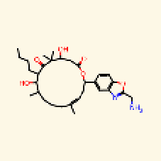 CCCCC1C(=O)C(C)(C)C(O)CC(=O)OC(c2ccc3oc(CN)nc3c2)CC=C(C)CCCC(C)C1O